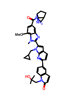 COc1cc(C(=O)N2CC3CCC2C3N)cc2nc(-c3cc4ccc(-c5ccc6c(ccc(=O)n6CC(C)(C)O)c5)nc4n3CC3CC3)n(C)c12